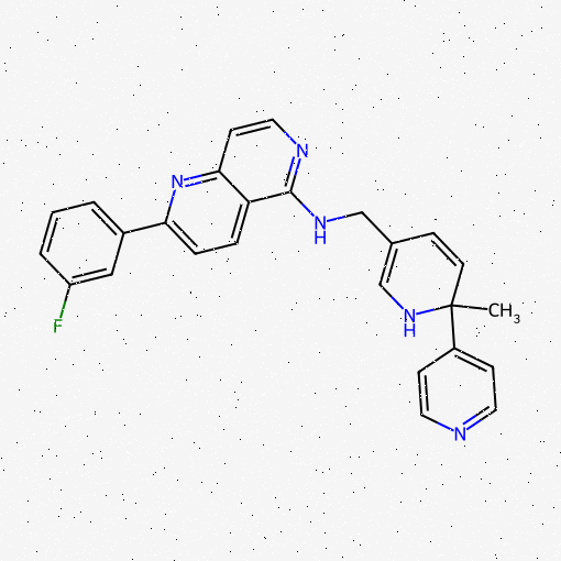 CC1(c2ccncc2)C=CC(CNc2nccc3nc(-c4cccc(F)c4)ccc23)=CN1